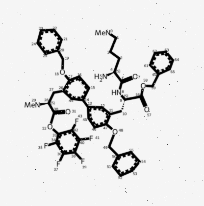 CNCCC[C@H](N)C(=O)N[C@@H](Cc1cc(-c2ccc(OCc3ccccc3)c(C[C@H](NC)C(=O)Oc3c(F)c(F)c(F)c(F)c3F)c2)ccc1OCc1ccccc1)C(=O)OCc1ccccc1